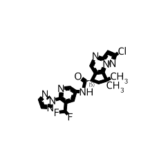 CC1(C)C[C@H](C(=O)Nc2cnc(-n3nccn3)c(C(F)F)c2)c2cnc3cc(Cl)nn3c21